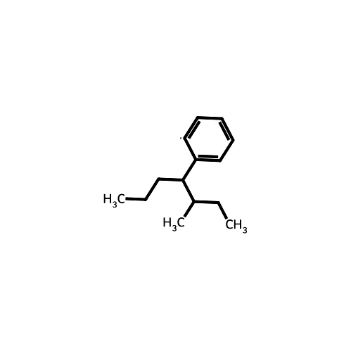 CCCC(c1[c]cccc1)C(C)CC